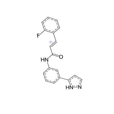 O=C(/C=C/c1ccccc1F)Nc1cccc(-c2ccn[nH]2)c1